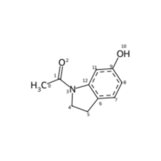 CC(=O)N1CCc2ccc(O)cc21